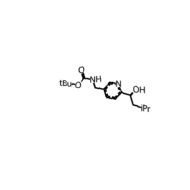 CC(C)CC(O)c1ccc(CNC(=O)OC(C)(C)C)cn1